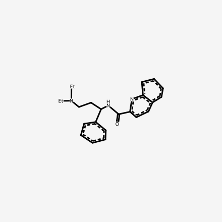 CCN(CC)CCC(NC(=O)c1ccc2ccccc2n1)c1ccccc1